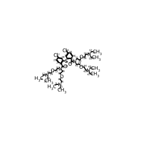 CCN(CC)CCOCCN(CCOCCN(CC)CC)C(=O)c1ccc(Cl)cc1Sc1cc(Cl)ccc1C(=O)N(CCOCCN(CC)CC)CCOCCN(CC)CC